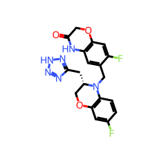 O=C1COc2cc(F)c(CN3c4ccc(F)cc4OC[C@@H]3Cc3nn[nH]n3)cc2N1